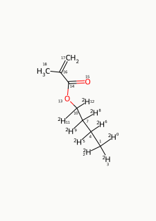 [2H]C([2H])([2H])C([2H])([2H])C([2H])([2H])C([2H])([2H])OC(=O)C(=C)C